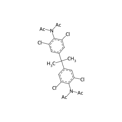 CC(=O)N(C(C)=O)c1c(Cl)cc(C(C)(C)c2cc(Cl)c(N(C(C)=O)C(C)=O)c(Cl)c2)cc1Cl